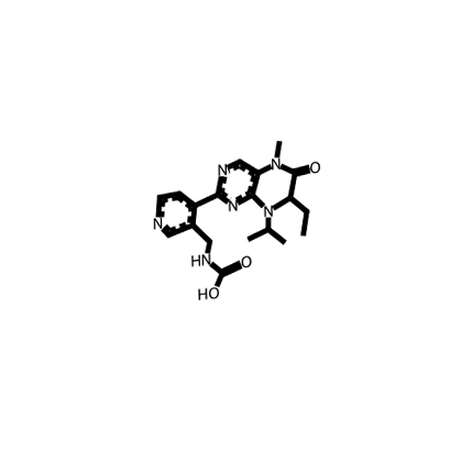 CCC1C(=O)N(C)c2cnc(-c3ccncc3CNC(=O)O)nc2N1C(C)C